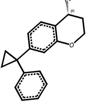 CC[C@@H]1CCOc2cc(C3(c4ccccc4)CC3)ccc21